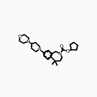 CC1(C)CCN(C(=O)OC2CCCC2)Cc2cc(N3CCC(N4CCOCC4)CC3)ccc21